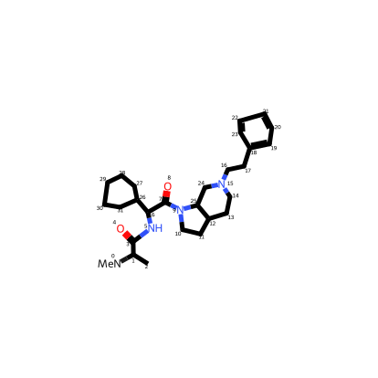 CNC(C)C(=O)NC(C(=O)N1CCC2CCN(CCc3ccccc3)CC21)C1CCCCC1